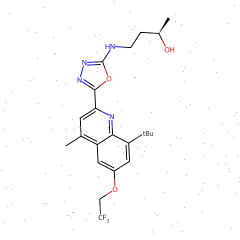 Cc1cc(-c2nnc(NCC[C@@H](C)O)o2)nc2c(C(C)(C)C)cc(OCC(F)(F)F)cc12